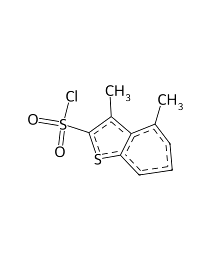 Cc1cccc2sc(S(=O)(=O)Cl)c(C)c12